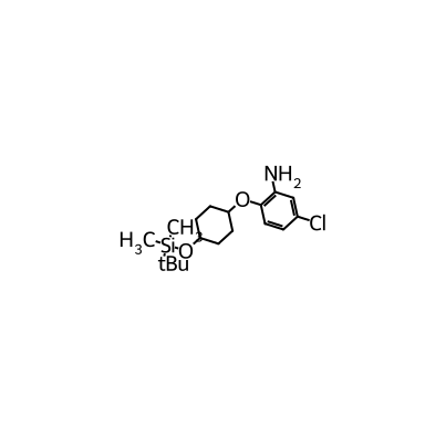 CC(C)(C)[Si](C)(C)OC1CCC(Oc2ccc(Cl)cc2N)CC1